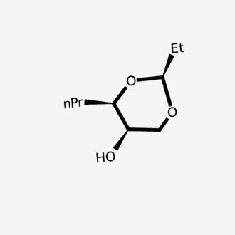 CCC[C@H]1O[C@@H](CC)OC[C@H]1O